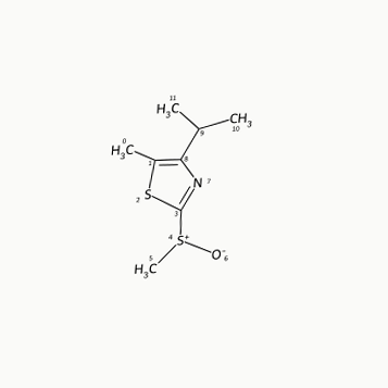 Cc1sc([S+](C)[O-])nc1C(C)C